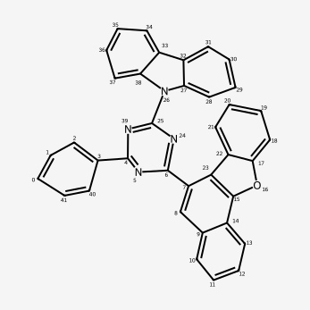 c1ccc(-c2nc(-c3cc4ccccc4c4oc5ccccc5c34)nc(-n3c4ccccc4c4ccccc43)n2)cc1